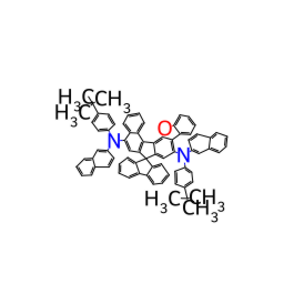 CC(C)(C)c1ccc(N(c2ccc3ccccc3c2)c2cc3c(c4ccccc24)-c2c(cc(N(c4ccc(C(C)(C)C)cc4)c4ccc5ccccc5c4)c4c2oc2ccccc24)C32c3ccccc3-c3ccccc32)cc1